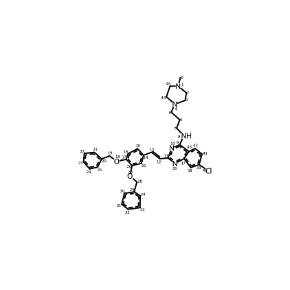 CN1CCN(CCCNc2nc(C=Cc3ccc(OCc4ccccc4)c(OCc4ccccc4)c3)nc3cc(Cl)ccc23)CC1